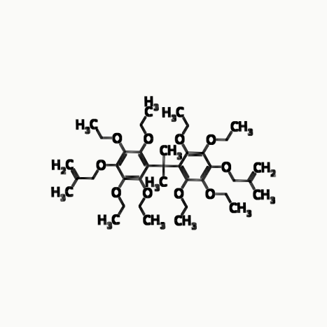 C=C(C)COc1c(OCC)c(OCC)c(C(C)(C)c2c(OCC)c(OCC)c(OCC(=C)C)c(OCC)c2OCC)c(OCC)c1OCC